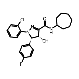 C[C@H]1C(C(=O)NC2CCCCCC2)=NN(c2ccccc2Cl)[C@H]1c1ccc(F)cc1